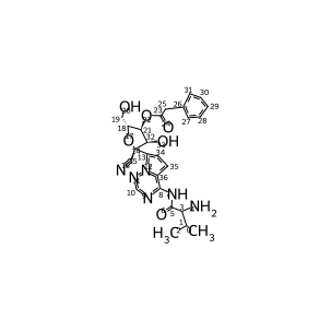 CC(C)C(N)C(=O)Nc1ncnn2c([C@]3(C#N)O[C@H](CO)[C@@H](OC(=O)Cc4ccccc4)[C@H]3O)ccc12